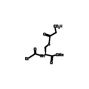 CCC(=O)N[C@@H](CSC(=O)CC(=O)O)C(=O)OC